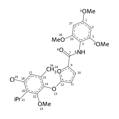 COc1cc(OC)c(NC(=O)c2ccc(Oc3c(C)cc(Cl)c(C(C)C)c3OC)o2)c(OC)c1